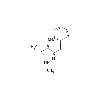 C=C(CC)/C(Cc1ccccc1)=N\NC